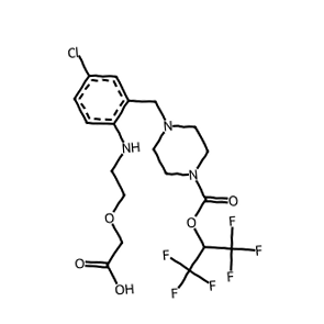 O=C(O)COCCNc1ccc(Cl)cc1CN1CCN(C(=O)OC(C(F)(F)F)C(F)(F)F)CC1